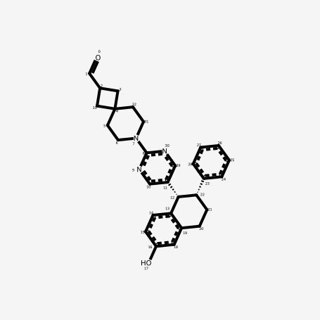 O=CC1CC2(CCN(c3ncc([C@H]4c5ccc(O)cc5CC[C@H]4c4ccccc4)cn3)CC2)C1